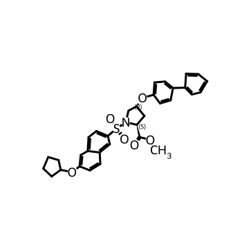 COC(=O)[C@@H]1C[C@@H](Oc2ccc(-c3ccccc3)cc2)CN1S(=O)(=O)c1ccc2cc(OC3CCCC3)ccc2c1